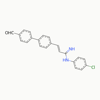 N=C(/C=C/c1ccc(-c2ccc(C=O)cc2)cc1)Nc1ccc(Cl)cc1